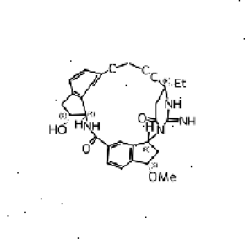 CC[C@]12CCCCc3ccc4c(c3)[C@@H](NC(=O)c3ccc5c(c3)[C@@H](C[C@@H]5OC)N(C(=N)N1)C(=O)C2)[C@H](O)C4